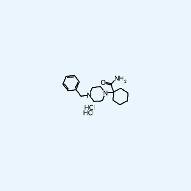 Cl.Cl.NC(=O)C1(N2CCN(Cc3ccccc3)CC2)CCCCC1